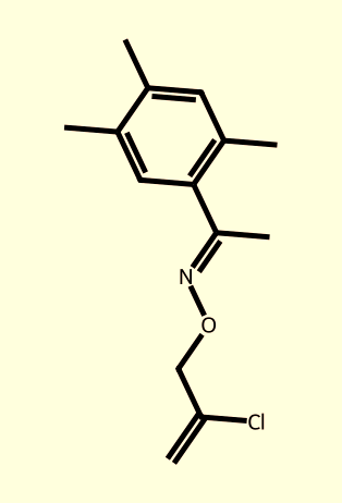 C=C(Cl)CO/N=C(\C)c1cc(C)c(C)cc1C